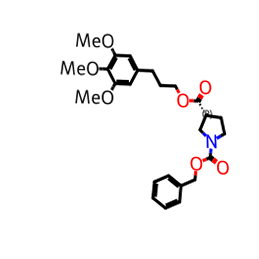 COc1cc(CCCOC(=O)[C@@H]2CCN(C(=O)OCc3ccccc3)C2)cc(OC)c1OC